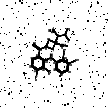 CC(C)C(N)C1(O)CN(C(=O)c2ccc(F)c(F)c2Nc2cccc(I)c2F)C1